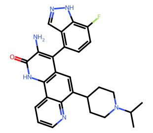 CC(C)N1CCC(c2cc3c(-c4ccc(F)c5[nH]ncc45)c(N)c(=O)[nH]c3c3cccnc23)CC1